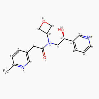 O=C(Cc1ccc(C(F)(F)F)nc1)N(C[C@@H](O)c1cccnc1)C1COC1